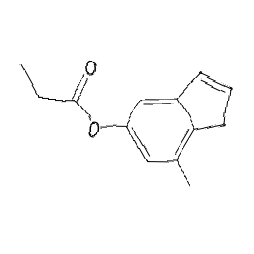 CCC(=O)Oc1cc(C)c2c(c1)C=CC2